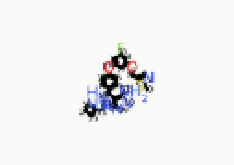 Cc1ncc(COc2cc(F)cc(Oc3ccc(-c4nn(C[C@@H]5CCCN5)c5ncnc(N)c45)cc3)c2)s1